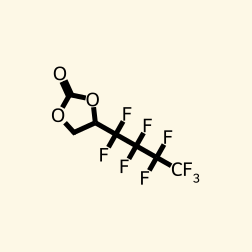 O=C1OCC(C(F)(F)C(F)(F)C(F)(F)C(F)(F)F)O1